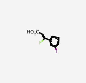 O=C(O)C=C(F)c1cccc(I)c1